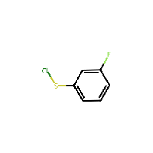 Fc1cccc(SCl)c1